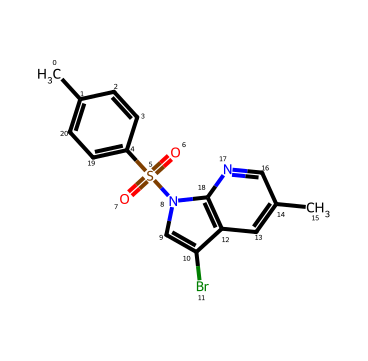 Cc1ccc(S(=O)(=O)n2cc(Br)c3cc(C)cnc32)cc1